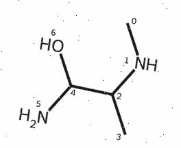 CNC(C)C(N)O